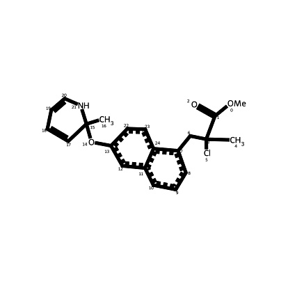 COC(=O)C(C)(Cl)Cc1cccc2cc(OC3(C)C=CC=CN3)ccc12